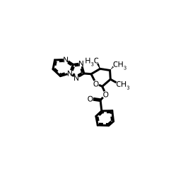 CC1C(OC(=O)c2ccccc2)OC(c2nc3ncccn3n2)[C@@H](C)[C@@H]1C